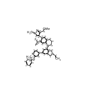 C=CN1Cc2cc(-c3ccnc(OC4(C)C=CC=CC4)c3)cc(N3CCCc4cc(-c5cn(C)nc5COC)c(C(F)F)cc43)c2C1